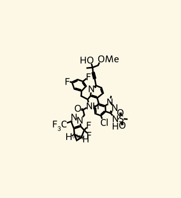 COCC(C)(O)C#Cc1ccc(-c2ccc(Cl)c3c(NS(C)(=O)=O)nn(C)c23)c(C(Cc2cc(F)cc(F)c2)NC(=O)Cn2nc(C(F)(F)F)c3c2C(F)(F)[C@@H]2C[C@H]32)n1